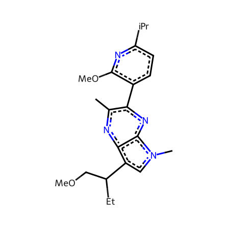 CCC(COC)c1cn(C)c2nc(-c3ccc(C(C)C)nc3OC)c(C)nc12